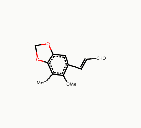 COc1c(C=CC=O)cc2c(c1OC)OCO2